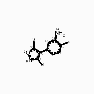 Cc1ccc(-c2c(C)noc2C)cc1N